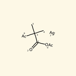 CC(=O)OC(=O)C(C)(C)C(C)=O.[Ag]